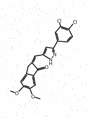 COc1cc2c(cc1OC)C(=O)C(=Cc1cc(-c3ccc(Cl)c(Cl)c3)n[nH]1)C2